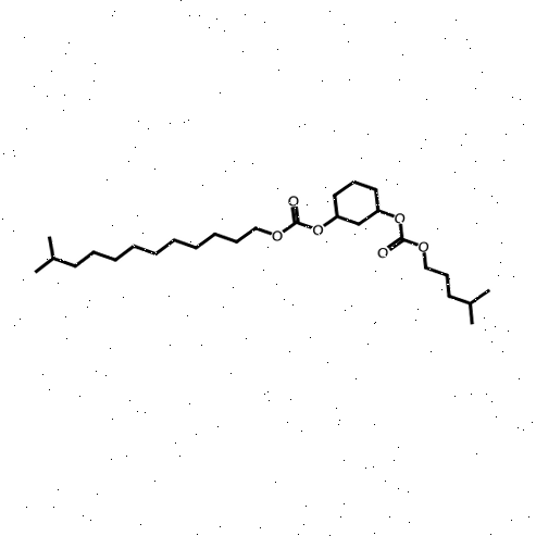 CC(C)CCCCCCCCCCOC(=O)OC1CCCC(OC(=O)OCCCC(C)C)C1